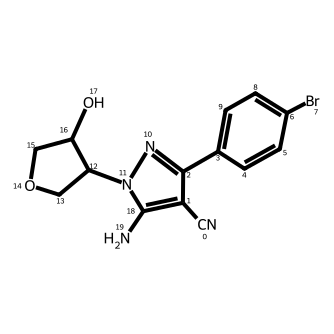 N#Cc1c(-c2ccc(Br)cc2)nn(C2COCC2O)c1N